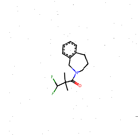 CC(C)(C(=O)N1CCCc2ccccc2C1)C(F)F